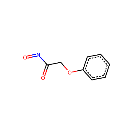 O=NC(=O)COc1ccccc1